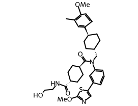 COc1ncc(-c2cccc(N(C[C@H]3CC[C@H](c4ccc(OC)c(C)c4)CC3)C(=O)[C@H]3CC[C@H](C(=O)NCCO)CC3)c2)s1